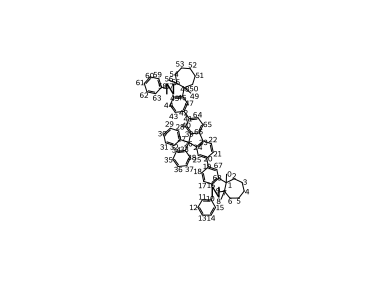 CC12CCCCCC1(C)N(c1ccccc1)c1ccc(-c3ccc4c(c3)C(c3ccccc3)(c3ccccc3)c3cc(-c5ccc6c(c5)C5(C)CCCCCC5(C)N6c5ccccc5)ccc3-4)cc12